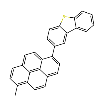 Cc1ccc2ccc3c(-c4ccc5sc6ccccc6c5c4)ccc4ccc1c2c43